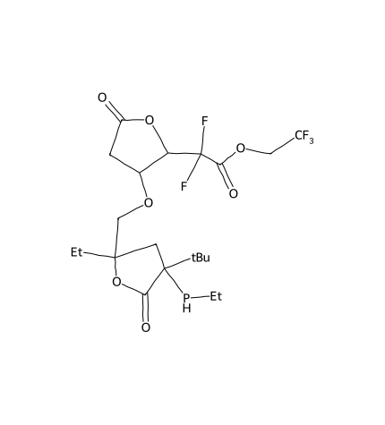 CCPC1(C(C)(C)C)CC(CC)(COC2CC(=O)OC2C(F)(F)C(=O)OCC(F)(F)F)OC1=O